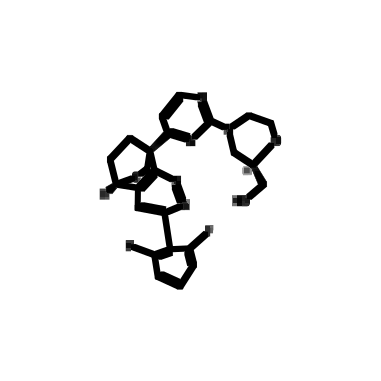 OC[C@H]1CN(c2nccc([C@]34CC[C@H](CC3)c3cc(-c5c(F)cccc5F)nnc34)n2)CCO1